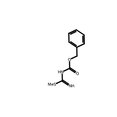 CSC(=N)NC(=O)OCc1ccccc1